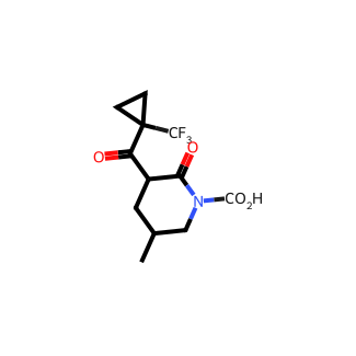 CC1CC(C(=O)C2(C(F)(F)F)CC2)C(=O)N(C(=O)O)C1